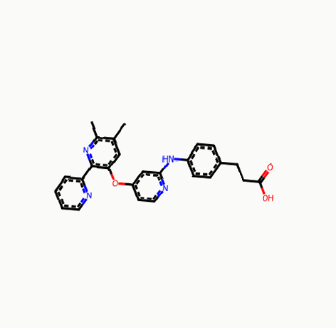 Cc1cc(Oc2ccnc(Nc3ccc(CCC(=O)O)cc3)c2)c(-c2ccccn2)nc1C